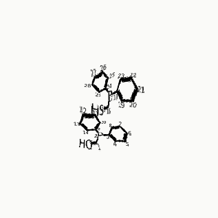 OCP(c1ccccc1)c1ccccc1.SCP(c1ccccc1)c1ccccc1